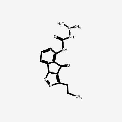 CCCC1=C2C(=O)c3c(NC(=O)NN(C)C)cccc3C2N=N1